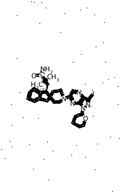 CC(C)(C[C@@H]1c2ccccc2CC12CCN(c1cnc3c(I)nn(C4CCCCO4)c3n1)CC2)[S+](N)[O-]